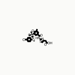 COc1ccc(Cl)cc1S(=O)(=O)N1COc2c(C)cc(C(=O)Nc3nc(CC(=O)O)cs3)cc21